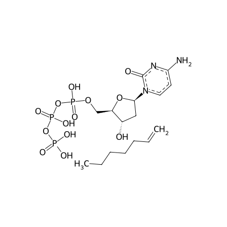 C=CCCCCC.Nc1ccn([C@H]2C[C@H](O)[C@@H](COP(=O)(O)OP(=O)(O)OP(=O)(O)O)O2)c(=O)n1